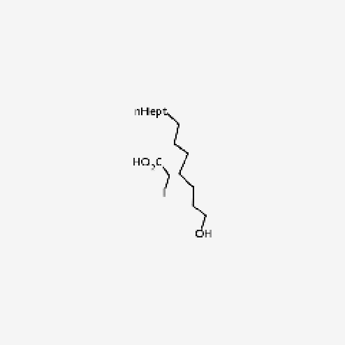 CCCCCCCCCCCCCCO.O=C(O)CI